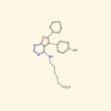 CCCc1ccc(-c2c(-c3ccccc3)oc3ncnc(NCCCCCC(=O)O)c23)cc1